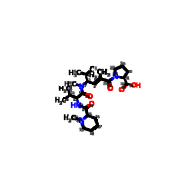 C/C(=C\[C@H](C(C)C)N(C)C(=O)[C@@H](NC(=O)C1CCCCN1C)C(C)C)C(=O)N1CCC[C@H]1C(=O)O